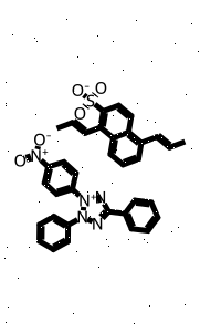 CC=Cc1cccc2c(C=CC)c(S(=O)(=O)[O-])ccc12.O=[N+]([O-])c1ccc(-[n+]2nc(-c3ccccc3)nn2-c2ccccc2)cc1